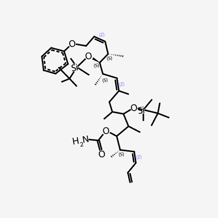 C=C/C=C\[C@H](C)C(OC(N)=O)C(C)C(O[Si](C)(C)C(C)(C)C)C(C)C/C(C)=C\[C@H](C)[C@@H](O[Si](C)(C)C(C)(C)C)[C@@H](C)/C=C\COc1ccccc1